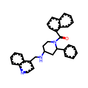 O=C(c1cccc2ccccc12)N1CCC(NCc2ccnc3ccccc23)CC1c1ccccc1